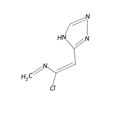 C=N/C(Cl)=C\c1nnc[nH]1